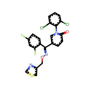 O=c1ccc(C(=NOCc2cscn2)c2ccc(F)cc2F)cn1-c1c(Cl)cccc1Cl